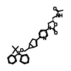 CC(=O)NC[C@H]1CN(c2ccc(C3=CC4C(CO[Si](c5ccccc5)(c5ccccc5)C(C)(C)C)C4C3)nc2)C(=O)O1